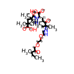 CCC(C)C(=O)COCCOCCNC(C)(CC)C(=O)CC[C@H](NC(=O)C(C)(C)CC(C)(C)C(=O)O)C(=O)O